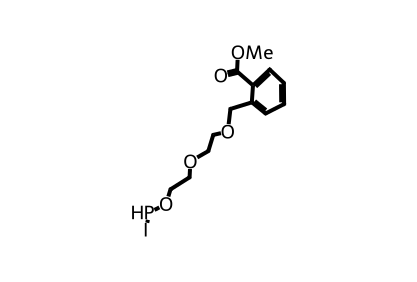 COC(=O)c1ccccc1COCCOCCOPI